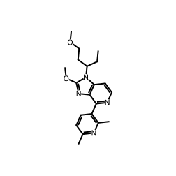 CCC(CCOC)n1c(OC)nc2c(-c3ccc(C)nc3C)nccc21